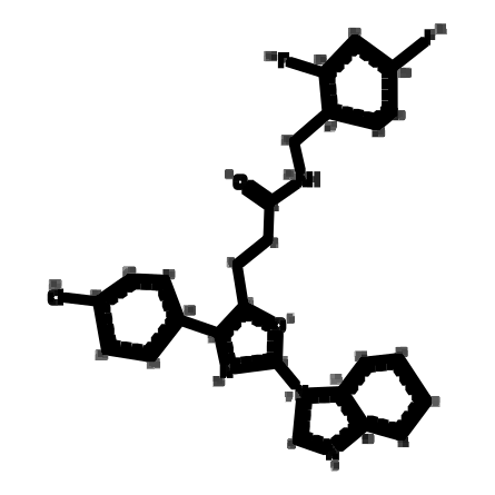 O=C(CCc1oc(-n2cnc3ccccc32)nc1-c1ccc(Cl)cc1)NCc1ccc(F)cc1F